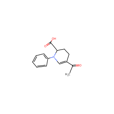 CC(=O)C1=CN(c2ccccc2)C(C(=O)O)CC1